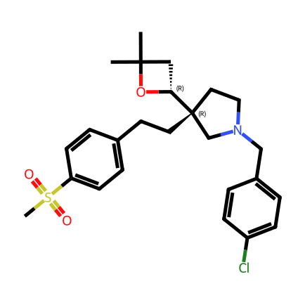 CC1(C)C[C@H]([C@]2(CCc3ccc(S(C)(=O)=O)cc3)CCN(Cc3ccc(Cl)cc3)C2)O1